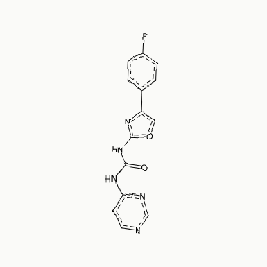 O=C(Nc1ccncn1)Nc1nc(-c2ccc(F)cc2)co1